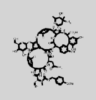 COc1ccc(COC(=O)N(C)[C@H](CC(C)C)C(=O)NC2C(=O)NC(CC(N)=O)C(=O)NC3C(=O)N[C@H]4C(=O)N[C@H](C(=O)NC(C(=O)O)c5cc(O)cc(O)c5-c5cc4ccc5O)[C@H](O[C@H]4CC(C)(N)[C@@H](O)C(C)O4)c4ccc(c(Cl)c4)Oc4cc3cc(c4O[C@@H]3O[C@H](CO)C(O)[C@H](O)C3O)Oc3ccc(cc3Cl)C2O)cc1